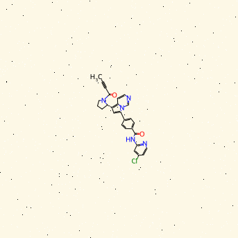 CC#CC(=O)N1CCCC1c1cc(-c2ccc(C(=O)Nc3cc(Cl)ccn3)cc2)n2cnccc12